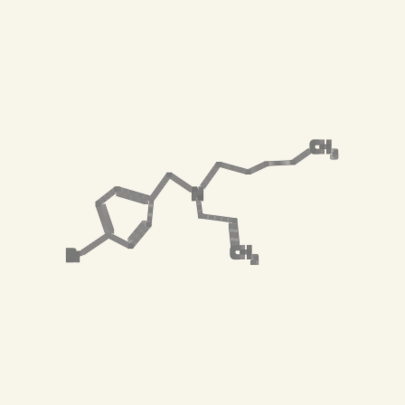 C=CCN(CCCCC)Cc1ccc(Br)cc1